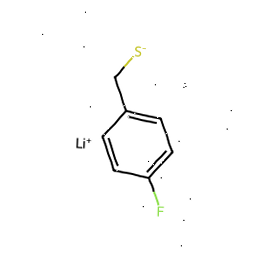 Fc1ccc(C[S-])cc1.[Li+]